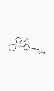 COCC#Cc1cnc(N)c(C(=O)c2cccc(N3CCCCCC3)n2)c1